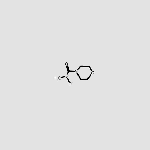 C[S+]([O-])C(=O)N1CCOCC1